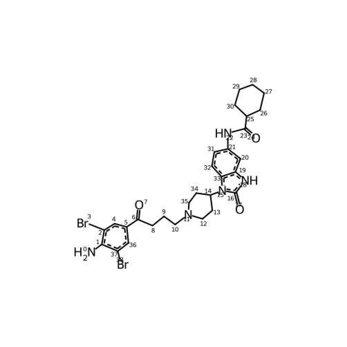 Nc1c(Br)cc(C(=O)CCCN2CCC(n3c(=O)[nH]c4cc(NC(=O)C5CCCCC5)ccc43)CC2)cc1Br